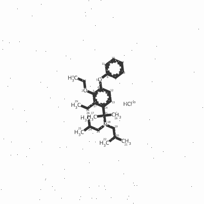 CCOc1c(Oc2ccccc2)ccc(C(C)(C)N(CC(C)C)CC(C)C)c1CC.Cl